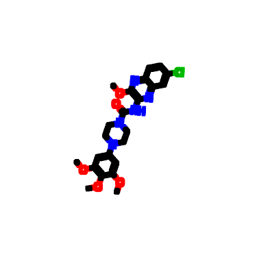 COc1cc(N2CCN(C(=O)Nc3nc4cc(Cl)ccc4nc3OC)CC2)cc(OC)c1OC